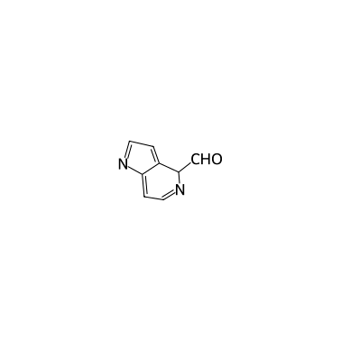 O=CC1N=CC=C2N=CC=C21